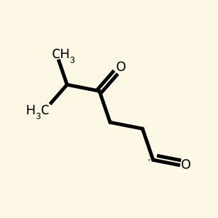 CC(C)C(=O)CC[C]=O